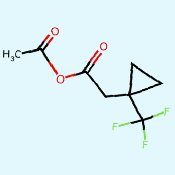 CC(=O)OC(=O)CC1(C(F)(F)F)CC1